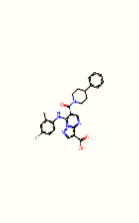 Cc1cc(F)ccc1Nc1c(C(=O)N2CCC(c3ccccc3)CC2)cnc2c(C(=O)O)cnn12